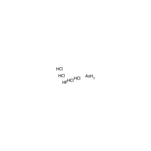 Cl.Cl.Cl.Cl.F.[AsH3]